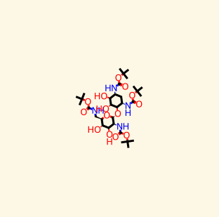 CC(C)(C)OC(=O)NC[C@H]1O[C@H](O[C@H]2[C@H](O)[C@@H](O)[C@H](NC(=O)OC(C)(C)C)C[C@@H]2NC(=O)OC(C)(C)C)[C@H](NC(=O)OC(C)(C)C)[C@@H](O)[C@@H]1O